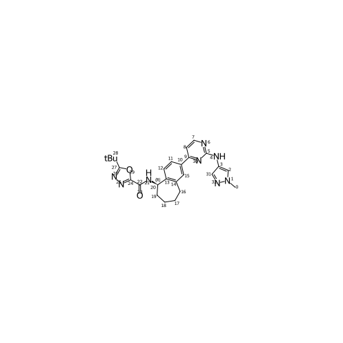 Cn1cc(Nc2nccc(-c3ccc4c(c3)CCCC[C@H]4NC(=O)c3nnc(C(C)(C)C)o3)n2)cn1